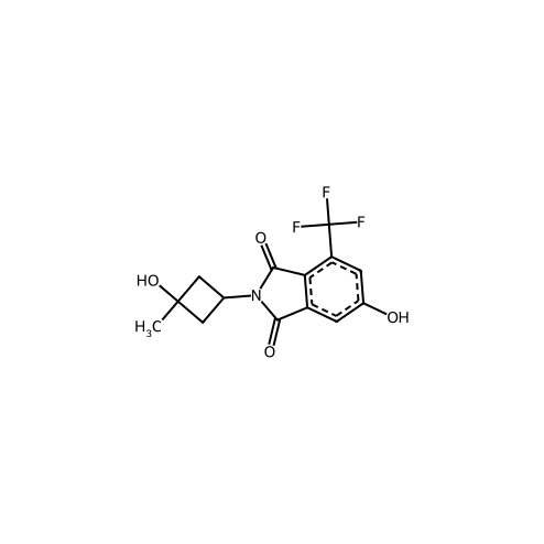 CC1(O)CC(N2C(=O)c3cc(O)cc(C(F)(F)F)c3C2=O)C1